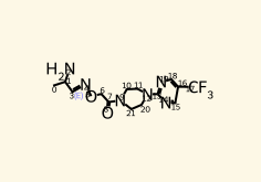 CC(N)/C=N/OCC(=O)N1CCN(c2ncc(C(F)(F)F)cn2)CC1